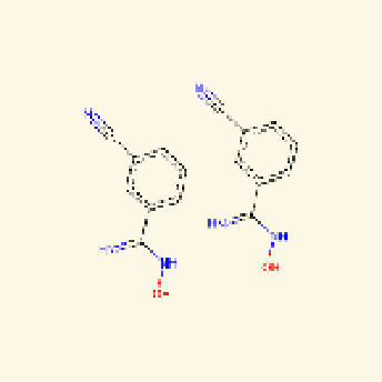 N#Cc1cccc(C(=N)NO)c1.N#Cc1cccc(C(=N)NO)c1